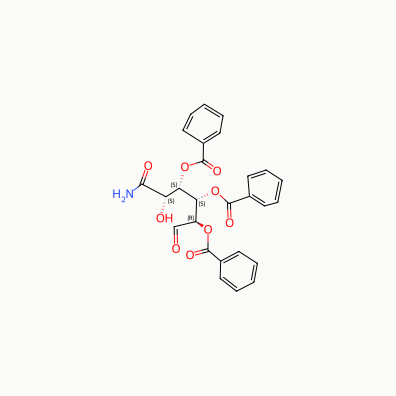 NC(=O)[C@@H](O)[C@H](OC(=O)c1ccccc1)[C@H](OC(=O)c1ccccc1)[C@H](C=O)OC(=O)c1ccccc1